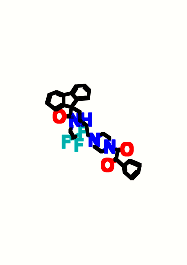 O=C(C(=O)N1CCN(CCCCC2(C(=O)NCC(F)(F)F)c3ccccc3-c3ccccc32)CC1)c1ccccc1